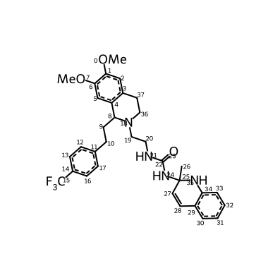 COc1cc2c(cc1OC)C(CCc1ccc(C(F)(F)F)cc1)N(CCNC(=O)NC1(C)C=Cc3ccccc3N1)CC2